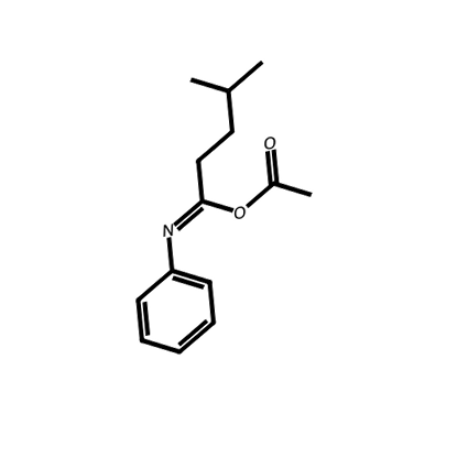 CC(=O)OC(CCC(C)C)=Nc1ccccc1